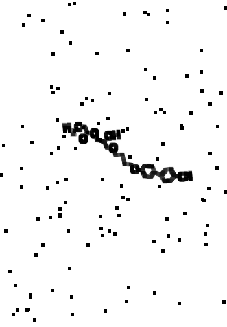 C=CC(=O)OCC(O)COCCCCOc1ccc(-c2ccc(C#N)cc2)cc1